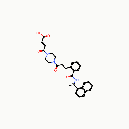 C[C@@H](NC(=O)c1ccccc1CCC(=O)N1CCN(C(=O)/C=C/C(=O)O)CC1)c1cccc2ccccc12